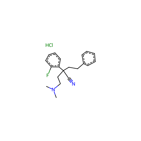 CN(C)CCC(C#N)(CCc1ccccc1)c1ccccc1F.Cl